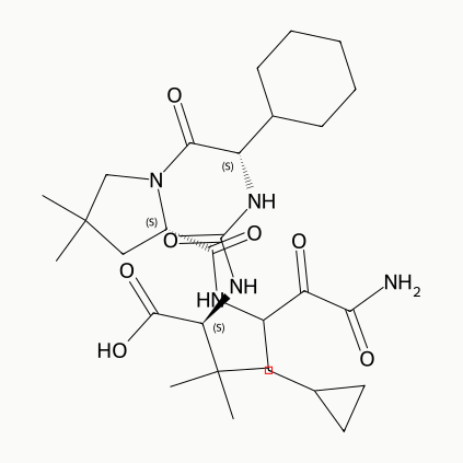 CC1(C)C[C@@H](C(=O)NC(CC2CC2)C(=O)C(N)=O)N(C(=O)[C@@H](NC(=O)N[C@H](C(=O)O)C(C)(C)C)C2CCCCC2)C1